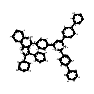 c1ccc(-c2ccc(-c3cc(-c4ccc(-c5nc6ccccc6c6oc(-c7ccccc7)c(-c7ccccc7)c56)cc4)nc(-c4ccc(-c5ccccc5)cc4)n3)cc2)cc1